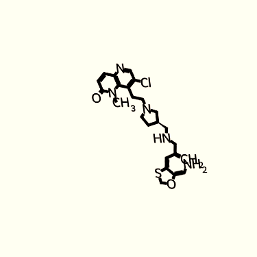 C=C(/C=C1/SCO/C1=C/N)CNC[C@H]1CCN(CCc2c(Cl)cnc3ccc(=O)n(C)c23)C1